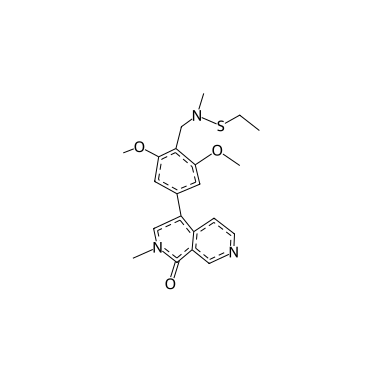 CCSN(C)Cc1c(OC)cc(-c2cn(C)c(=O)c3cnccc23)cc1OC